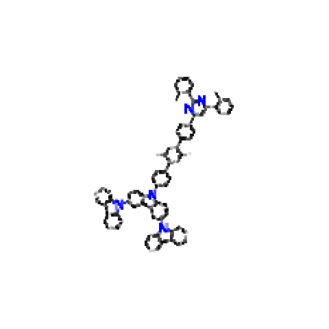 Cc1cc(-c2ccc(-n3c4ccc(-n5c6ccccc6c6ccccc65)cc4c4cc(-n5c6ccccc6c6ccccc65)ccc43)cc2)c(C)cc1-c1ccc(-c2cc(-c3ccccc3C)nc(-c3ccccc3C)n2)cc1